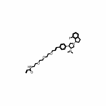 C=CC(=O)NCCOCCOCCOC/C=C/c1ccc([C@H]2CN([C@H]3CCc4cccc(F)c43)C[C@@H]2N(C)C)cc1